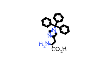 N[C@H](Cc1cn(C(c2ccccc2)(c2ccccc2)c2ccccc2)cn1)C(=O)O